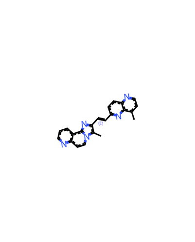 Cc1ccnc2ccc(/C=C/c3nc4c5cccnc5ccn4c3C)nc12